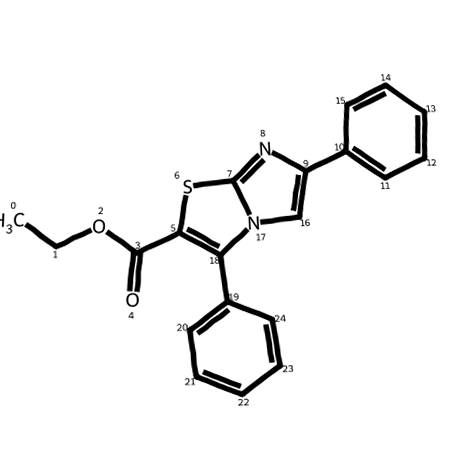 CCOC(=O)c1sc2nc(-c3ccccc3)cn2c1-c1ccccc1